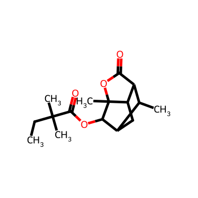 CCC(C)(C)C(=O)OC1C2CC3C(C(=O)OC31C)C2C